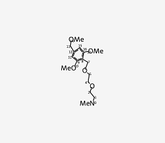 CNCCOCCOCc1c(OC)cc(COC)cc1OC